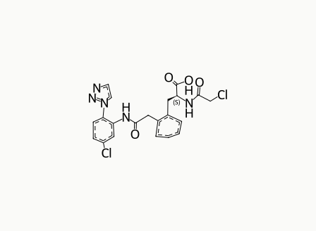 O=C(Cc1ccccc1C[C@H](NC(=O)CCl)C(=O)O)Nc1cc(Cl)ccc1-n1ccnn1